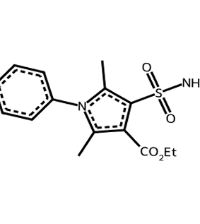 CCOC(=O)c1c(S(N)(=O)=O)c(C)n(-c2ccccc2)c1C